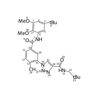 COc1cc(C(C)(C)C)cc(NC(=O)c2ccc(C)c(-n3cc(C(=O)NCC(C)(C)C)nn3)c2)c1OC